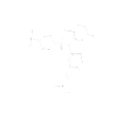 O=C(O)/C=C/c1cc(C(c2cc(F)ccc2F)S(=O)(=O)c2ccc(C(F)(F)F)cc2)c(Cl)cn1